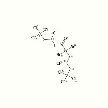 O=C(CC(Cl)CC(Cl)(Cl)Cl)C(Br)(Br)CC(Cl)CC(Cl)(Cl)Cl